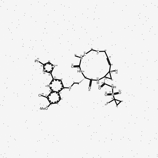 COc1ccc2c(OCC[C@@H]3NC(=O)N(C)CCCCC=C[C@@H]4C[C@@]4(C(=O)NS(=O)(=O)C4(F)CC4)NC3=O)cc(-c3nc(C(C)C)cs3)nc2c1Cl